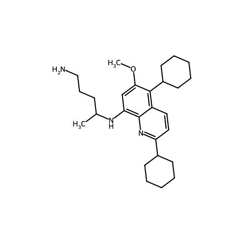 COc1cc(NC(C)CCCN)c2nc(C3CCCCC3)ccc2c1C1CCCCC1